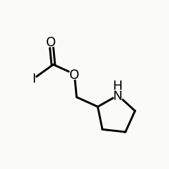 O=C(I)OCC1CCCN1